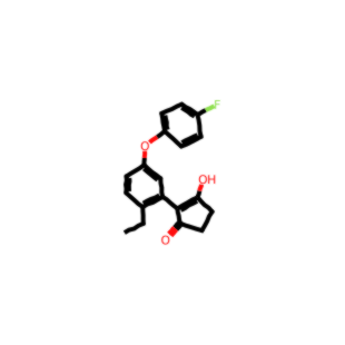 CCc1ccc(Oc2ccc(F)cc2)cc1C1=C(O)CCC1=O